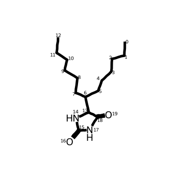 CCCCCCC(CCCCCC)C1NC(=O)NC1=O